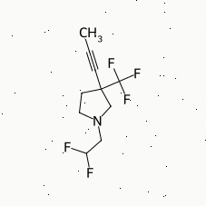 CC#CC1(C(F)(F)F)CCN(CC(F)F)C1